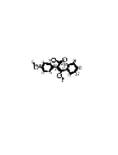 CO/C(=C1/C(=O)Oc2cc(OC)ccc21)c1ccccc1